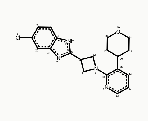 Clc1ccc2[nH]c(C3CN(c4ncccc4C4CCOCC4)C3)nc2c1